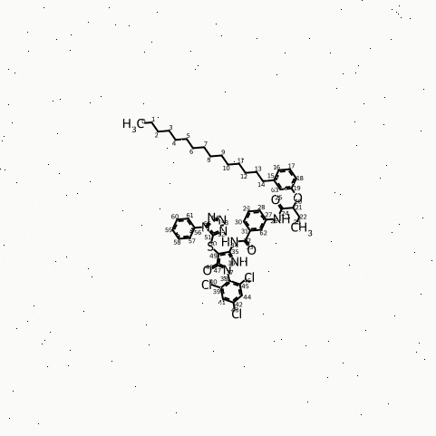 CCCCCCCCCCCCCCCc1cccc(OC(CC)C(=O)Nc2cccc(C(=O)Nc3[nH]n(-c4c(Cl)cc(Cl)cc4Cl)c(=O)c3Sc3nnnn3-c3ccccc3)c2)c1